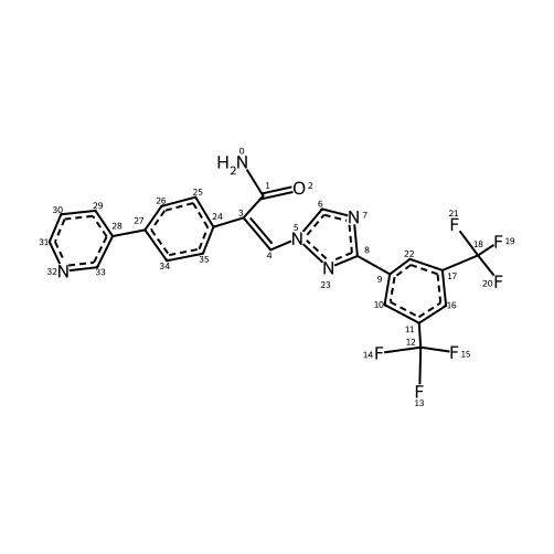 NC(=O)C(=Cn1cnc(-c2cc(C(F)(F)F)cc(C(F)(F)F)c2)n1)c1ccc(-c2cccnc2)cc1